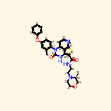 Cc1cc(Oc2ccccc2)ccc1N1C(=O)Nc2c(C(=O)NCCN3CCOC[C@@H]3C)sc3nccc1c23